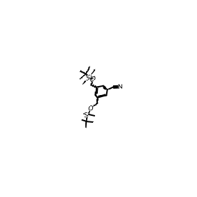 CC(C)(C)[Si](C)(C)OCc1cc(C#N)cc(CO[Si](C)(C)C(C)(C)C)c1